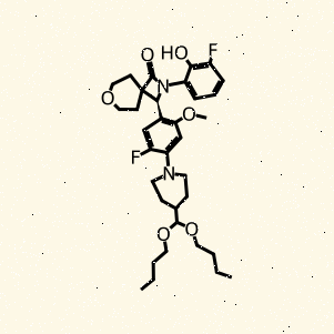 CCCCOC(OCCCC)C1CCN(c2cc(OC)c([C@@H]3N(c4cccc(F)c4O)C(=O)C34CCOCC4)cc2F)CC1